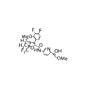 COC[C@@H](O)c1ccc(NC(=O)C2O[C@@](C)(C(F)(F)F)[C@@H](C)[C@H]2c2ccc(F)c(F)c2OC)cn1